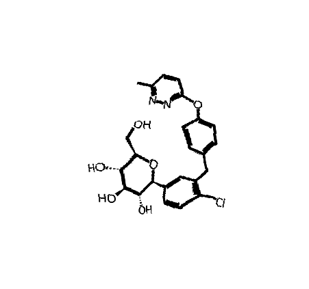 Cc1ccc(Oc2ccc(Cc3cc([C@@H]4O[C@H](CO)[C@@H](O)[C@H](O)[C@H]4O)ccc3Cl)cc2)nn1